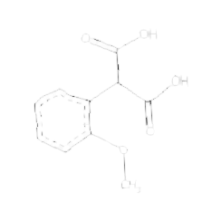 COc1ccccc1C(C(=O)O)C(=O)O